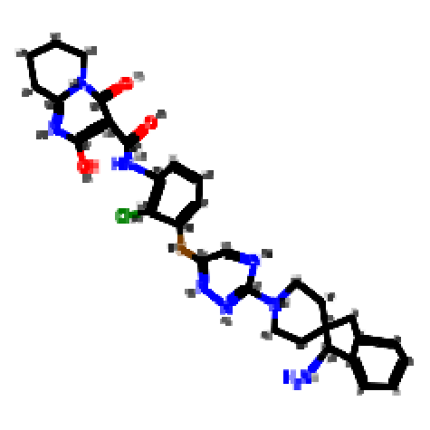 N[C@@H]1c2ccccc2CC12CCN(c1ncc(Sc3cccc(NC(=O)c4c(O)nc5n(c4=O)CCCC5)c3Cl)nn1)CC2